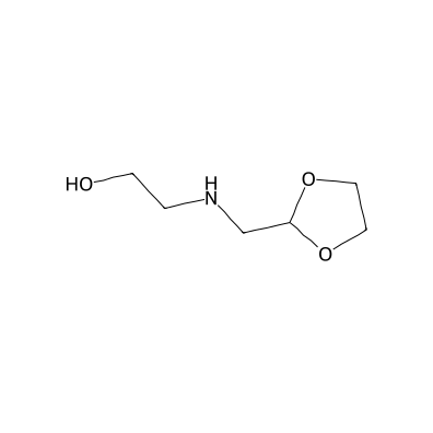 OCCNCC1OCCO1